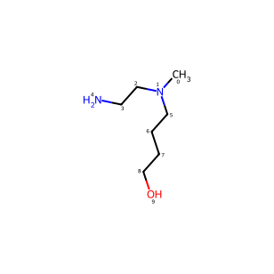 CN(CCN)CCCCO